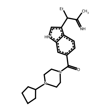 CCC(C(C)=N)c1c[nH]c2cc(C(=O)N3CCN(C4CCCC4)CC3)ccc12